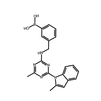 Cc1nc(NCc2cccc(B(O)O)c2)nc(-n2c(C)cc3ccccc32)n1